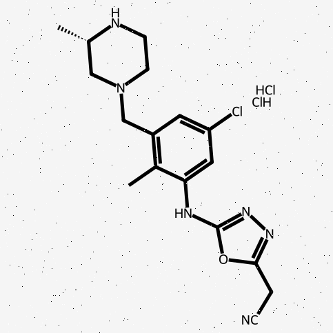 Cc1c(CN2CCN[C@@H](C)C2)cc(Cl)cc1Nc1nnc(CC#N)o1.Cl.Cl